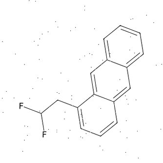 FC(F)Cc1cccc2cc3ccccc3cc12